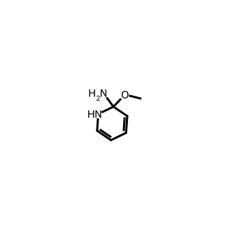 COC1(N)C=CC=CN1